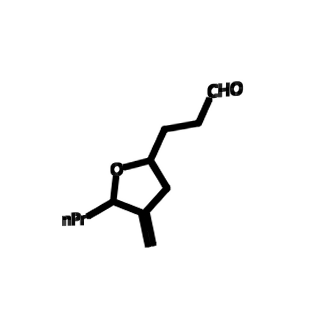 C=C1CC(CCC=O)OC1CCC